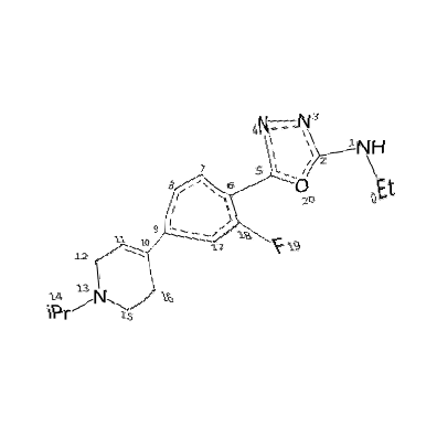 CCNc1nnc(-c2ccc(C3=CCN(C(C)C)CC3)cc2F)o1